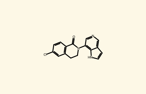 O=C1c2ccc(Cl)cc2CCN1c1cncc2cc[nH]c12